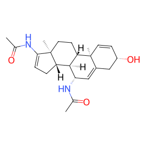 CC(=O)NC1=CC[C@H]2[C@@H]3[C@@H](NC(C)=O)C=C4C[C@@H](O)C=C[C@]4(C)[C@H]3CC[C@]12C